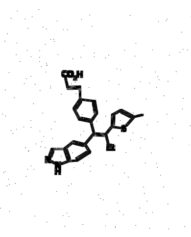 CC/C(=C(/c1ccc(/C=C/C(=O)O)cc1)c1ccc2[nH]ncc2c1)c1ccc(C)s1